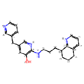 Oc1cc(Cc2cccnc2)cnc1NCCCC1CCCc2cccnc21